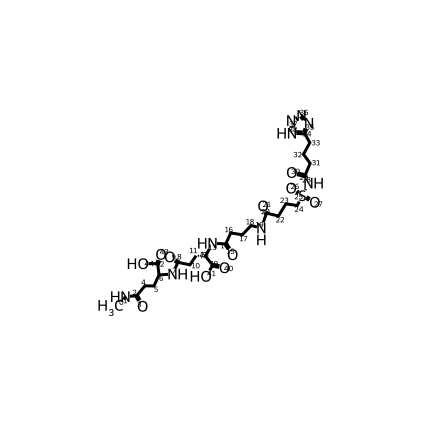 CNC(=O)CCC(NC(=O)CC[C@H](NC(=O)CCCNC(=O)CCCS(=O)(=O)NC(=O)CCCc1nnn[nH]1)C(=O)O)C(=O)O